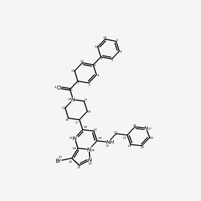 O=C(C1C=CC(c2ccccc2)=CC1)N1CCC(c2cc(NCc3cccnc3)n3ncc(Br)c3n2)CC1